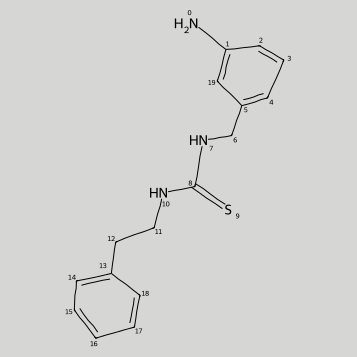 Nc1cccc(CNC(=S)NCCc2ccccc2)c1